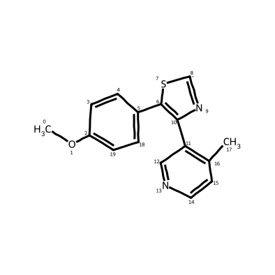 COc1ccc(-c2s[c]nc2-c2cnccc2C)cc1